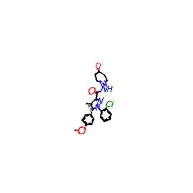 COc1ccc([C@H]2[C@@H](C)C(C(=O)NN3CCC(=O)CC3)=NN2c2ccccc2Cl)cc1